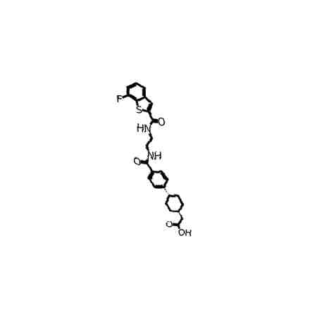 O=C(O)C[C@H]1CC[C@H](c2ccc(C(=O)NCCNC(=O)c3cc4cccc(F)c4s3)cc2)CC1